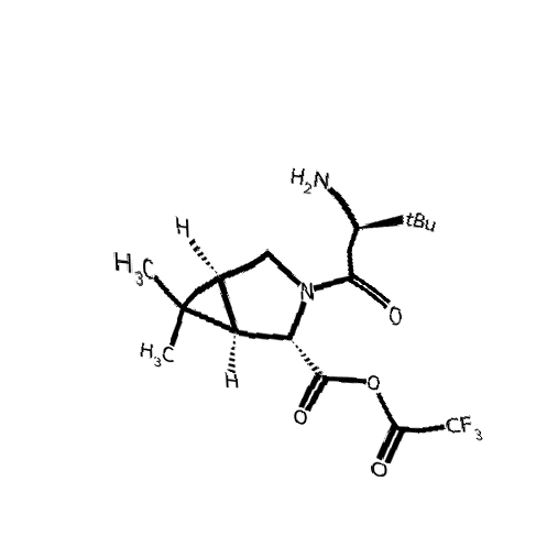 CC(C)(C)[C@H](N)C(=O)N1C[C@H]2[C@@H]([C@H]1C(=O)OC(=O)C(F)(F)F)C2(C)C